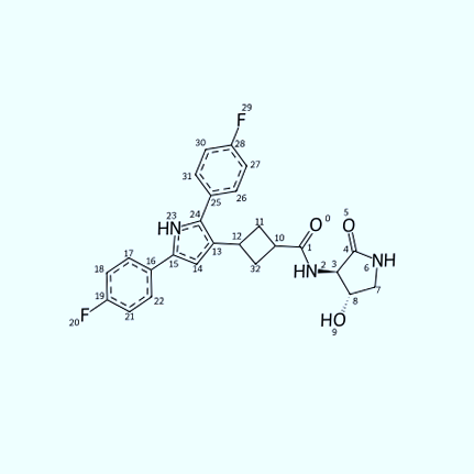 O=C(N[C@H]1C(=O)NC[C@@H]1O)C1CC(c2cc(-c3ccc(F)cc3)[nH]c2-c2ccc(F)cc2)C1